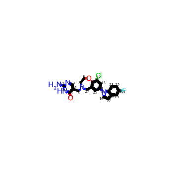 Nc1ncc(CN2CCOc3c(Cl)cc(-n4ccc5cc(F)ccc54)cc3C2)c(=O)[nH]1